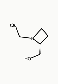 CC(C)(C)CN1CC[C@@H]1CO